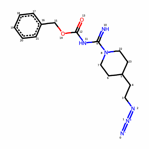 [N-]=[N+]=NCCC1CCN(C(=N)NC(=O)OCc2ccccc2)CC1